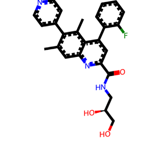 Cc1cc2nc(C(=O)NC[C@H](O)CO)cc(-c3ccccc3F)c2c(C)c1-c1ccncc1